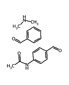 CC(=O)Nc1ccc(C=O)cc1.CNC.O=Cc1ccccc1